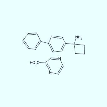 NC1(c2ccc(-c3[c]cccc3)cc2)CCC1.O=C(O)c1cnccn1